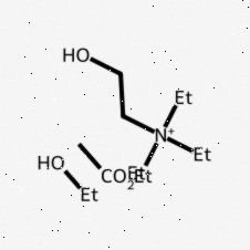 CCO.CCOC(C)=O.CC[N+](CC)(CC)CCO